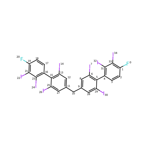 Fc1ccc(-c2c(I)cc(Cc3cc(I)c(-c4ccc(F)c(I)c4I)c(I)c3)cc2I)c(I)c1I